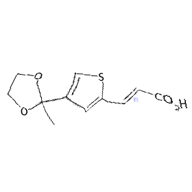 CC1(c2csc(/C=C/C(=O)O)c2)OCCO1